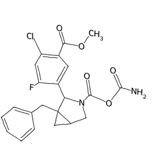 COC(=O)c1cc(C2N(C(=O)OC(N)=O)CC3CC32Cc2ccccc2)c(F)cc1Cl